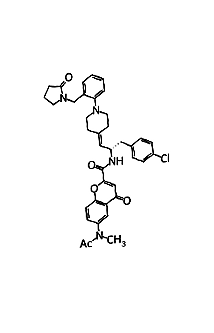 CC(=O)N(C)c1ccc2oc(C(=O)N[C@H](C=C3CCN(c4ccccc4CN4CCCC4=O)CC3)Cc3ccc(Cl)cc3)cc(=O)c2c1